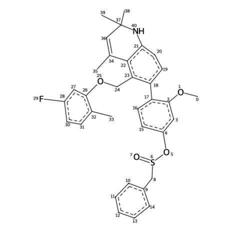 COc1cc(OS(=O)Cc2ccccc2)ccc1-c1ccc2c(c1COc1cc(F)ccc1C)C(C)=CC(C)(C)N2